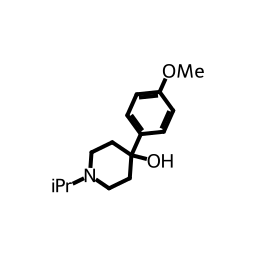 COc1ccc(C2(O)CCN(C(C)C)CC2)cc1